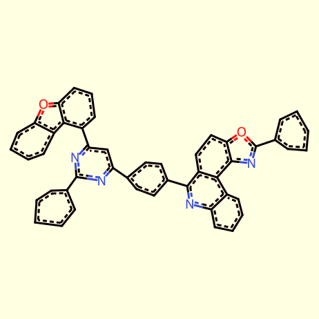 c1ccc(-c2nc(-c3ccc(-c4nc5ccccc5c5c4ccc4oc(-c6ccccc6)nc45)cc3)cc(-c3cccc4oc5ccccc5c34)n2)cc1